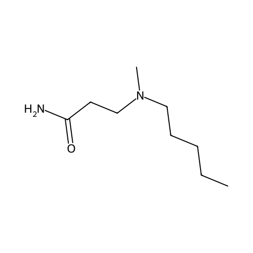 CCCCCN(C)CCC(N)=O